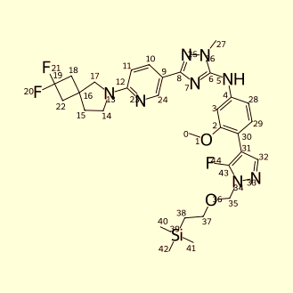 COc1cc(Nc2nc(-c3ccc(N4CCC5(C4)CC(F)(F)C5)nc3)nn2C)ccc1-c1cnn(COCC[Si](C)(C)C)c1F